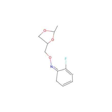 CC1OCC(CON=C2CC=C[C]=C2F)O1